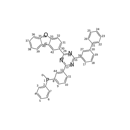 CP(c1ccccc1)c1cccc(-c2nc(-c3cccc(-c4ccccc4)c3)nc(-c3ccc4oc5ccccc5c4c3)n2)c1